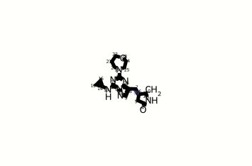 C=C1NC(=O)C/C1=C\c1cnn2c(NC3CC3)nc(N3CCCOCC3)nc12